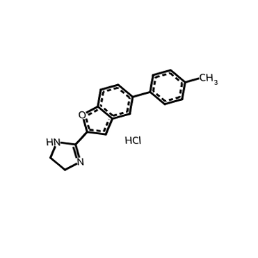 Cc1ccc(-c2ccc3oc(C4=NCCN4)cc3c2)cc1.Cl